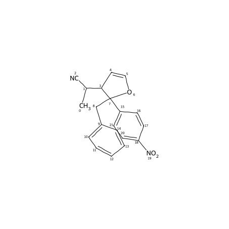 CC(C#N)C1C=COC1(Cc1ccccc1)c1ccc([N+](=O)[O-])cc1